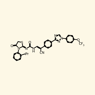 CC(C)c1ccccc1N1C(=O)CS/C1=N\C(=O)N/C=C(\C#N)c1ccc(-c2ncn(-c3ccc(OC(F)(F)F)cc3)n2)cc1